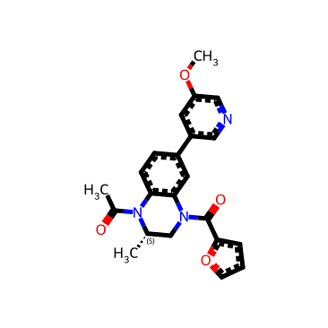 COc1cncc(-c2ccc3c(c2)N(C(=O)c2ccco2)C[C@H](C)N3C(C)=O)c1